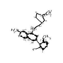 Cc1cccc(F)c1-c1cc(NCC2CCN(C)C2)c2cc(N)ncc2c1